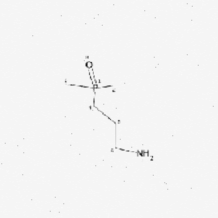 CP(C)(=O)CCCN